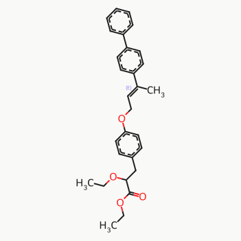 CCOC(=O)C(Cc1ccc(OC/C=C(\C)c2ccc(-c3ccccc3)cc2)cc1)OCC